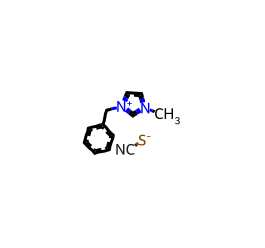 Cn1cc[n+](Cc2ccccc2)c1.N#C[S-]